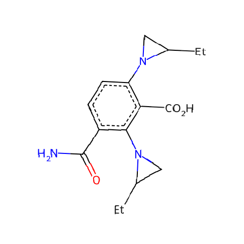 CCC1CN1c1ccc(C(N)=O)c(N2CC2CC)c1C(=O)O